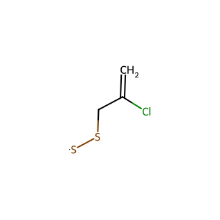 C=C(Cl)CS[S]